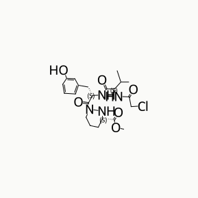 COC(=O)[C@@H]1CCCN(C(=O)[C@H](Cc2cccc(O)c2)NC(=O)[C@@H](NC(=O)CCl)C(C)C)N1